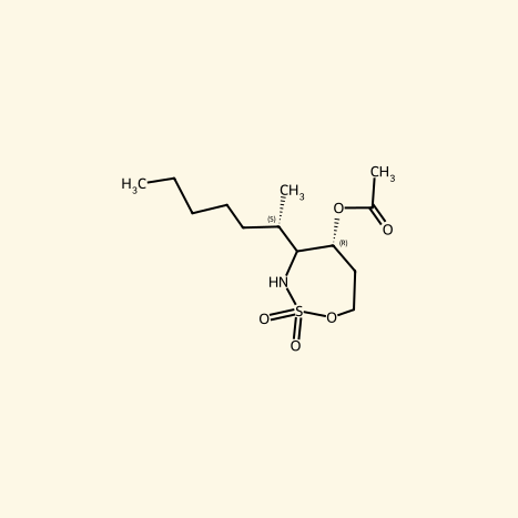 CCCCC[C@H](C)C1NS(=O)(=O)OCC[C@H]1OC(C)=O